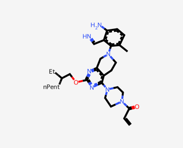 C=CC(=O)N1CCN(c2nc(OCC(CC)CCCCC)nc3c2CCN(c2c(C)ccc(N)c2C=N)C3)CC1